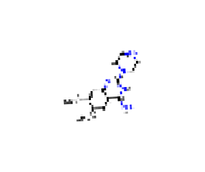 COc1cc2nc(N3CCNCC3)nc(N)c2cc1C=O